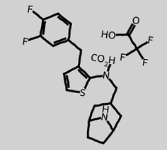 O=C(O)C(F)(F)F.O=C(O)N(CC1CC2CCC(C1)N2)c1sccc1Cc1ccc(F)c(F)c1